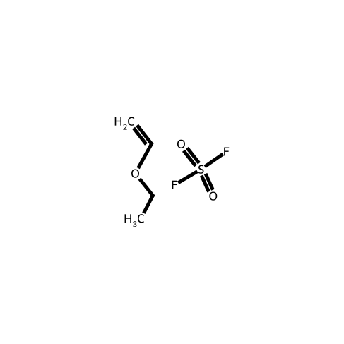 C=COCC.O=S(=O)(F)F